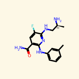 Cc1cccc(Nc2nc(NC[C@H](C)N)c(F)cc2C(N)=O)c1